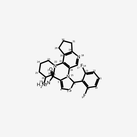 NC(=O)C1=CSC(c2c(F)cccc2F)N1c1cnc2c(c1N1CCCC(N)C1)CCC2